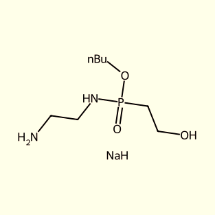 CCCCOP(=O)(CCO)NCCN.[NaH]